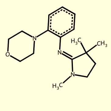 CN1CCC(C)(C)/C1=N\c1ccccc1N1CCOCC1